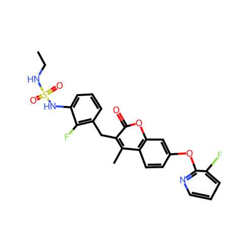 CCNS(=O)(=O)Nc1cccc(Cc2c(C)c3ccc(Oc4ncccc4F)cc3oc2=O)c1F